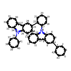 c1ccc(-c2ccc3c(c2)c2ccccc2n3-c2ccccc2-c2ccc3c(c2)c2ccccc2n3-c2ccccc2)cc1